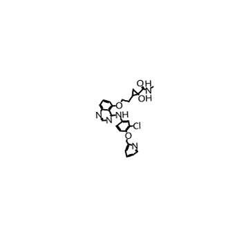 CNC(=O)C1(O)CC1CCOc1cccc2ncnc(Nc3ccc(OCc4ccccn4)c(Cl)c3)c12